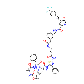 COc1cnc(C(=O)NCc2cccc(CC(=O)N(C)CCCC(=O)Nc3nc(-c4ccccc4)c(NC(=O)[C@@H]4CCCN4C(=O)C(NC(=O)[C@H](C)N(C)C(=O)OC(C)(C)C)C4CCCCC4)s3)c2)cc1/C=C/C1CCC(C(F)(F)F)CC1